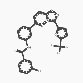 [2H]C([2H])([2H])c1ccc(-c2nnc3ccc(-c4cccc(NC(=O)c5cccc(Cl)c5)c4)nn23)o1